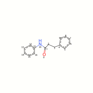 O=C([CH]Cc1ccccc1)Nc1ccccc1